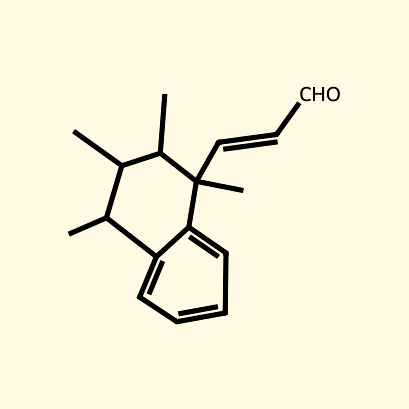 CC1c2ccccc2C(C)(C=CC=O)C(C)C1C